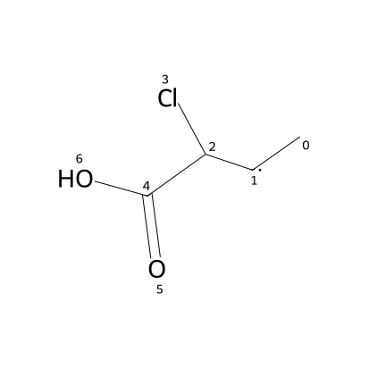 C[CH]C(Cl)C(=O)O